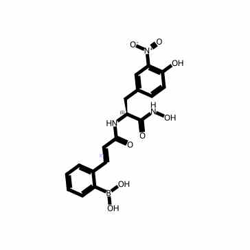 O=C(/C=C/c1ccccc1B(O)O)N[C@@H](Cc1ccc(O)c([N+](=O)[O-])c1)C(=O)NO